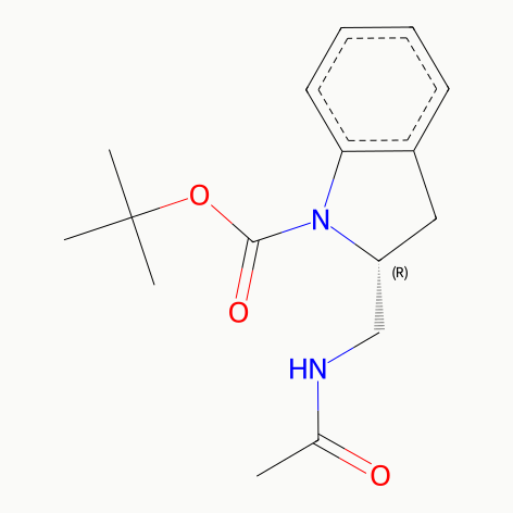 CC(=O)NC[C@H]1Cc2ccccc2N1C(=O)OC(C)(C)C